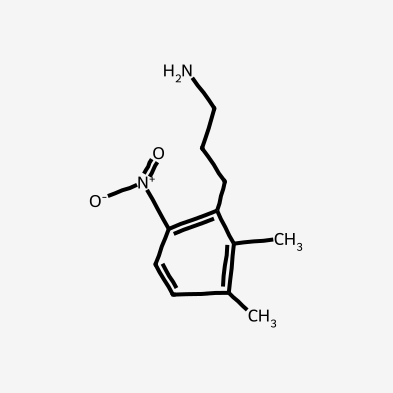 Cc1ccc([N+](=O)[O-])c(CCCN)c1C